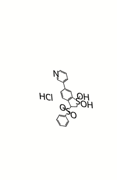 Cl.O=S(=O)(c1ccccc1)C1CS(O)(O)c2cc(-c3cccnc3)ccc21